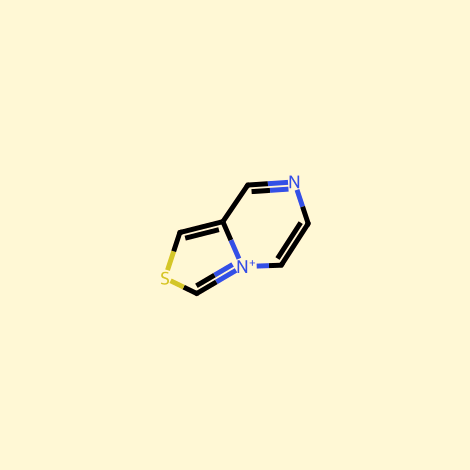 c1c[n+]2cscc2cn1